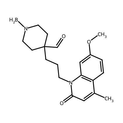 BN1CCC(C=O)(CCCn2c(=O)cc(C)c3ccc(OC)cc32)CC1